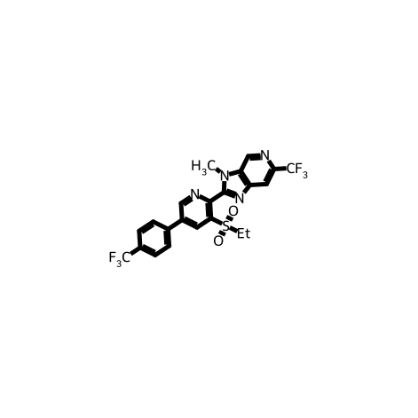 CCS(=O)(=O)c1cc(-c2ccc(C(F)(F)F)cc2)cnc1-c1nc2cc(C(F)(F)F)ncc2n1C